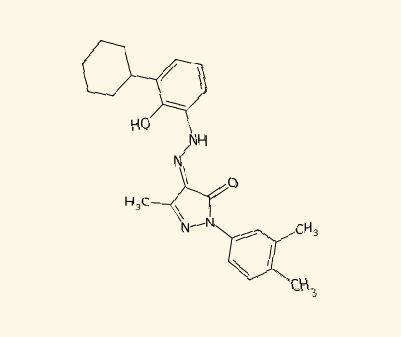 CC1=NN(c2ccc(C)c(C)c2)C(=O)C1=NNc1cccc(C2CCCCC2)c1O